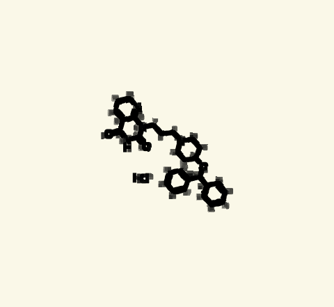 Cl.O=c1[nH]c(=O)n(CCCN2CCC(OC(c3ccccc3)c3ccccc3)CC2)c2ncccc12